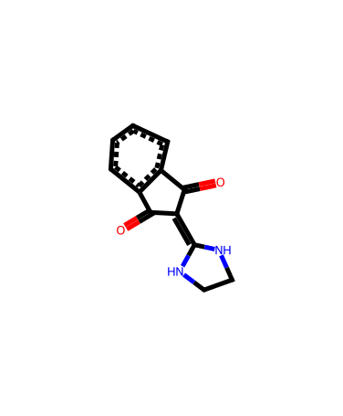 O=C1C(=C2NCCN2)C(=O)c2ccccc21